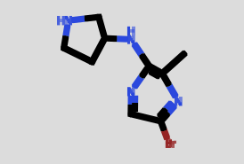 Cc1nc(Br)cnc1NC1CCNC1